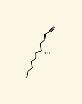 CCCCCC[C@@H](O)CC=CC#N